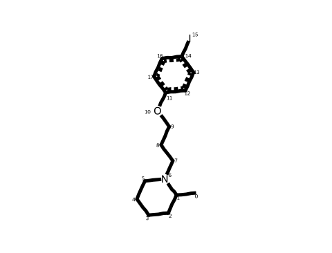 CC1CCCCN1CCCOc1ccc(I)cc1